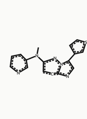 CN(c1cccnc1)c1ccc2ncc(-c3ccsc3)n2n1